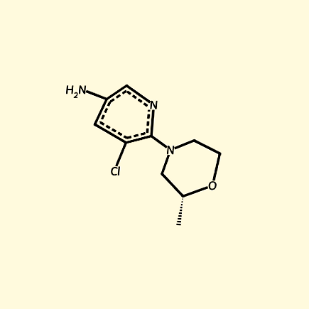 C[C@@H]1CN(c2ncc(N)cc2Cl)CCO1